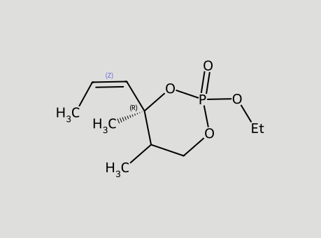 C/C=C\[C@@]1(C)OP(=O)(OCC)OCC1C